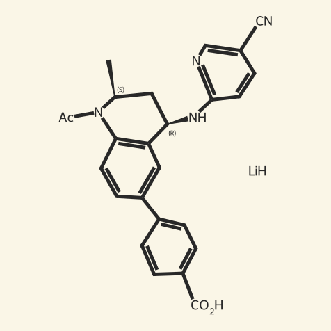 CC(=O)N1c2ccc(-c3ccc(C(=O)O)cc3)cc2[C@H](Nc2ccc(C#N)cn2)C[C@@H]1C.[LiH]